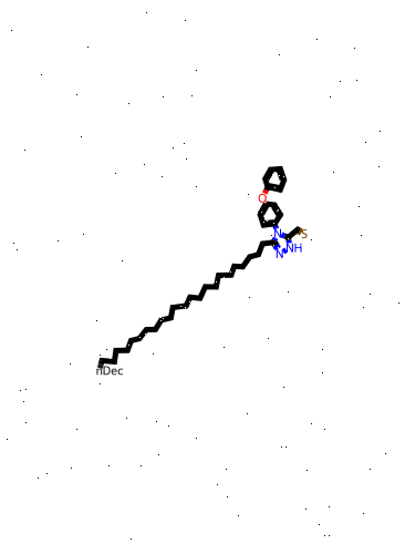 CCCCCCCCCCCCCCCCCCCCCCCCCCCCCCCCCC1=NNC(C=S)N1c1ccc(Oc2ccccc2)cc1